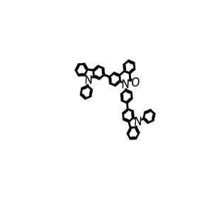 O=c1c2ccccc2c2cc(-c3ccc4c5ccccc5n(-c5ccccc5)c4c3)ccc2n1-c1ccc(-c2ccc3c4ccccc4n(-c4ccccc4)c3c2)cc1